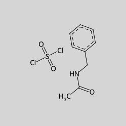 CC(=O)NCc1ccccc1.O=S(=O)(Cl)Cl